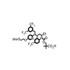 CC[C@@H]1C[C@H](N(Cc2cc(C(F)(F)F)cc(C(F)(F)F)c2)c2ccc(OCCOC)cn2)c2cc(C(F)(F)F)ccc2N1C(=O)OCC(C)(C)C(=O)O